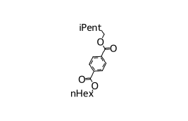 CCCCCCOC(=O)c1ccc(C(=O)OCC(C)CCC)cc1